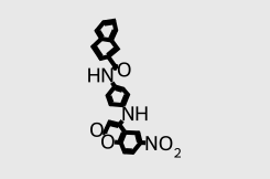 O=C(Nc1ccc(Nc2cc(=O)oc3ccc([N+](=O)[O-])cc23)cc1)c1ccc2ccccc2c1